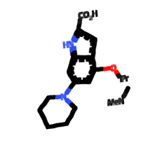 CC(C)Oc1cc(N2CCCCC2)cc2[nH]c(C(=O)O)cc12.CNC